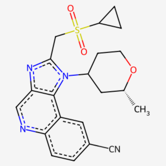 C[C@@H]1CC(n2c(CS(=O)(=O)C3CC3)nc3cnc4ccc(C#N)cc4c32)CCO1